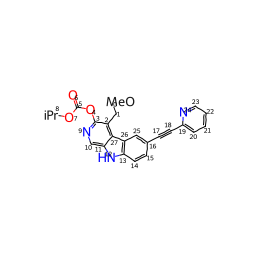 COCc1c(OC(=O)OC(C)C)ncc2[nH]c3ccc(C#Cc4ccccn4)cc3c12